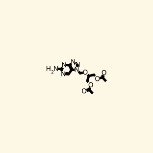 CC(=O)OCC(COC(C)=O)OCn1nnc2nc(N)ncc21